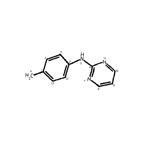 Cc1ccc(Nc2ncccn2)cc1